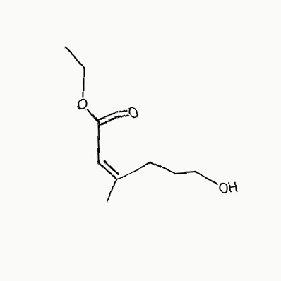 CCOC(=O)C=C(C)CCCO